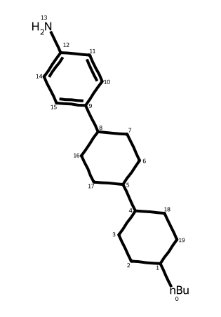 CCCCC1CCC(C2CCC(c3ccc(N)cc3)CC2)CC1